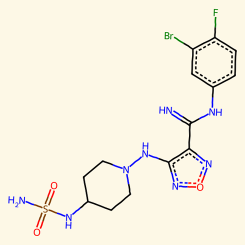 N=C(Nc1ccc(F)c(Br)c1)c1nonc1NN1CCC(NS(N)(=O)=O)CC1